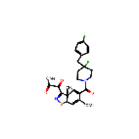 COC(=O)C(=O)C1=NSC2C=C(OC)C(C(=O)N3CCC(F)(Cc4ccc(F)cc4)CC3)=CC12C